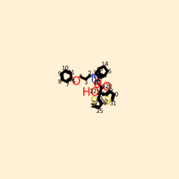 CN(CCCOc1ccccc1)C1C2CCC1C(OC(=O)C(O)(c1cccs1)c1cccs1)C2